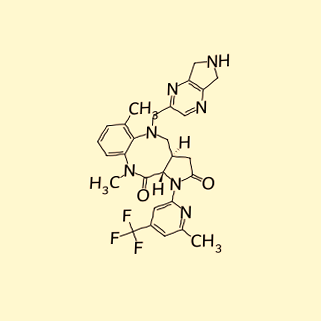 Cc1cc(C(F)(F)F)cc(N2C(=O)C[C@@H]3CN(Cc4cnc5c(n4)CNC5)c4c(C)cccc4N(C)C(=O)[C@H]32)n1